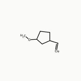 [CH]=CC1CCC(OC)C1